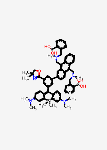 CN(Cc1ccccc1B(O)O)Cc1c2ccccc2c(CN(C)Cc2ccccc2B(O)O)c2cc(-c3cc(C4=NC(C)(C)CO4)cc(C4=C5C=CC(=[N+](C)C)C=C5[Si](C)(C)c5cc(N(C)C)ccc54)c3)ccc12